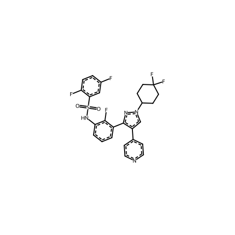 O=S(=O)(Nc1cccc(-c2nn(C3CCC(F)(F)CC3)cc2-c2ccncc2)c1F)c1cc(F)ccc1F